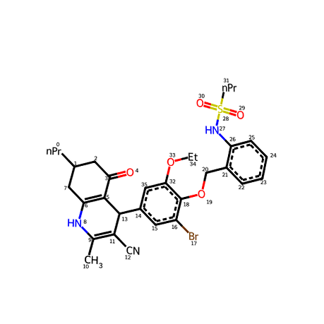 CCCC1CC(=O)C2=C(C1)NC(C)=C(C#N)C2c1cc(Br)c(OCc2ccccc2NS(=O)(=O)CCC)c(OCC)c1